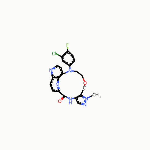 Cn1ncc2c1COCCN(c1ccc(F)c(Cl)c1)c1ccnc3ccc(nc13)C(=O)N2